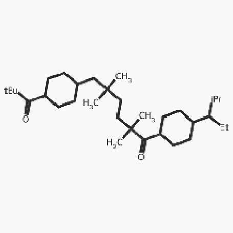 CCC(C(C)C)C1CCC(C(=O)C(C)(C)CCC(C)(C)CC2CCC(C(=O)C(C)(C)C)CC2)CC1